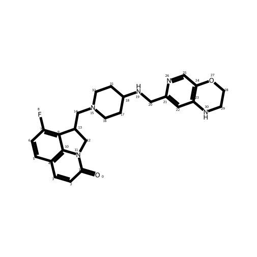 O=c1ccc2ccc(F)c3c2n1CC3CN1CCC(NCc2cc3c(cn2)OCCN3)CC1